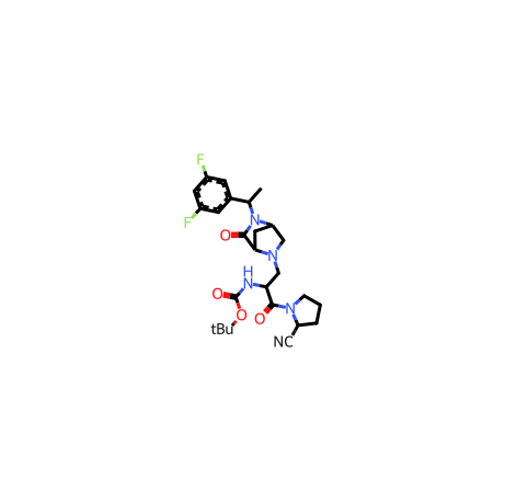 CC(c1cc(F)cc(F)c1)N1C(=O)C2CC1CN2CC(NC(=O)OC(C)(C)C)C(=O)N1CCCC1C#N